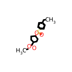 CCOC(=O)C1CCC(OS(=O)c2ccc(CC)cc2)CC1